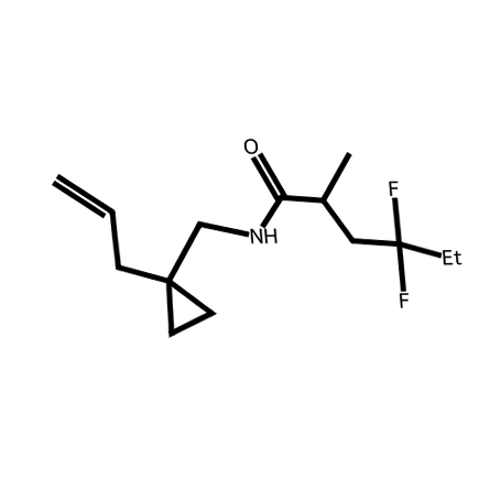 C=CCC1(CNC(=O)C(C)CC(F)(F)CC)CC1